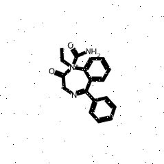 CC[N+]1(C(N)=O)C(=O)[CH]N=C(c2ccccc2)c2ccccc21